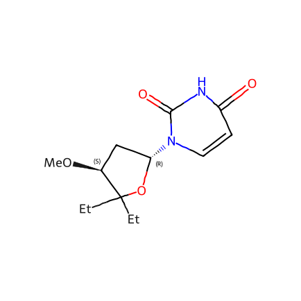 CCC1(CC)O[C@@H](n2ccc(=O)[nH]c2=O)C[C@@H]1OC